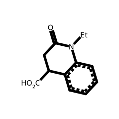 CCN1C(=O)CC(C(=O)O)c2ccccc21